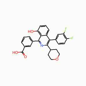 O=C(O)c1cccc(-c2nc(C3CCOCC3)c(-c3ccc(F)c(F)c3)c3cccc(O)c23)c1